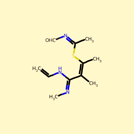 C=CNC(=N\C)/C(C)=C(/C)S/C(C)=N\C=O